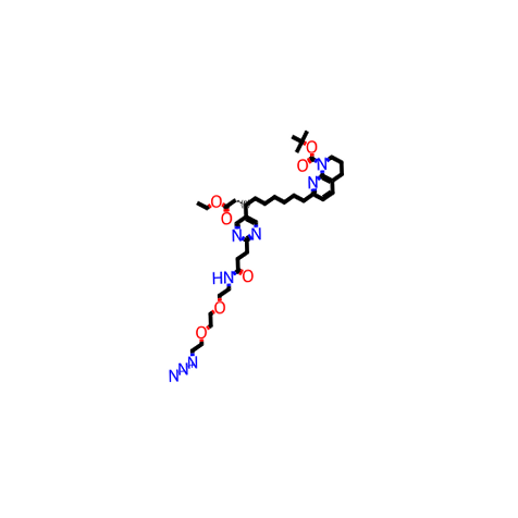 CCOC(=O)C[C@H](CCCCCCc1ccc2c(n1)N(C(=O)OC(C)(C)C)CCC2)c1cnc(CCC(=O)NCCOCCOCCN=[N+]=[N-])nc1